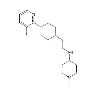 Cc1cccnc1C1CCC(CCNC2CCN(C)CC2)CC1